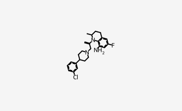 C=C(CN1CCC(c2cccc(Cl)c2)CC1)N1c2c(N)cc(F)cc2CCC1C